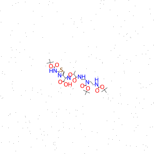 CC(O/N=C(/C(=O)O)c1csc(NC(=O)OC(C)(C)C)n1)C(=O)NCCN(CCNC(=O)OC(C)(C)C)C(=O)OC(C)(C)C